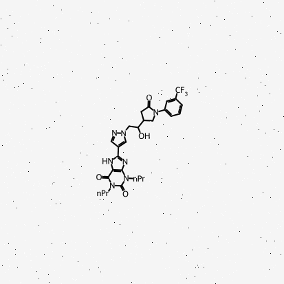 CCCn1c(=O)c2[nH]c(-c3cnn(CC(O)C4CC(=O)N(c5cccc(C(F)(F)F)c5)C4)c3)nc2n(CCC)c1=O